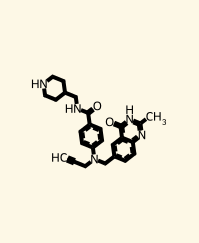 C#CCN(Cc1ccc2nc(C)[nH]c(=O)c2c1)c1ccc(C(=O)NCC2CCNCC2)cc1